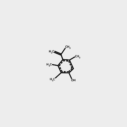 C=C(C)c1c(C)cc(O)c(C)c1C